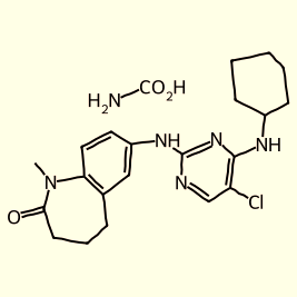 CN1C(=O)CCCc2cc(Nc3ncc(Cl)c(NC4CCCCC4)n3)ccc21.NC(=O)O